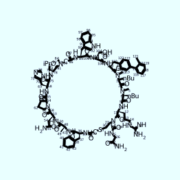 CCCCC1C(=O)N(C)[C@@H](CCCC)C(=O)N[C@@H](CCCNC(=N)N)C(=O)N[C@H](C(=O)NCC(N)=O)CSCC(=O)N[C@@H](Cc2ccccc2)C(=O)N(C)[C@@H](C)C(=O)N[C@@H](CC(N)=O)C(=O)N2CCC[C@H]2C(=O)N[C@@H](Cc2cnc[nH]2)C(=O)N[C@@H](CC(C)C)C(=O)N(C)CC(=O)N[C@@H](Cc2c[nH]c3ccccc23)C(=O)N[C@@H](CO)C(=O)N[C@@H](Cc2ccc(-c3ccccc3C)cc2)C(=O)N1C